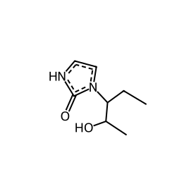 CCC(C(C)O)n1cc[nH]c1=O